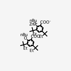 CCCCOc1c(C(=O)[O-])cc(C(C)(C)CC)cc1C(C)(C)CC.CCCCOc1c(C(=O)[O-])cc(C(C)(C)CC)cc1C(C)(C)CC.[Zn+2]